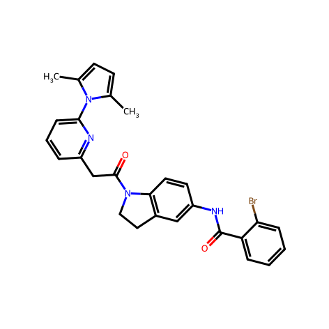 Cc1ccc(C)n1-c1cccc(CC(=O)N2CCc3cc(NC(=O)c4ccccc4Br)ccc32)n1